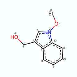 CCOn1cc(CO)c2ccccc21